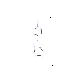 Nc1ccc([C]2Nc3ccccc3S2)cc1